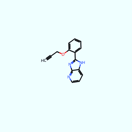 C#CCOc1ccccc1-c1nc2ncccc2[nH]1